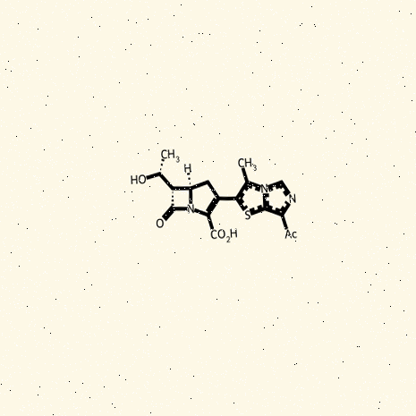 CC(=O)c1ncn2c(C)c(C3=C(C(=O)O)N4C(=O)[C@H]([C@@H](C)O)[C@H]4C3)sc12